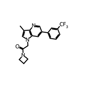 Cc1cn(CC(=O)N2CCC2)c2cc(-c3cccc(C(F)(F)F)c3)cnc12